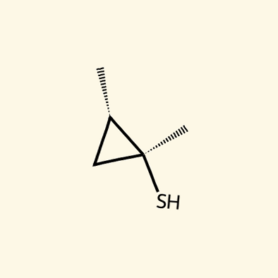 C[C@H]1C[C@]1(C)S